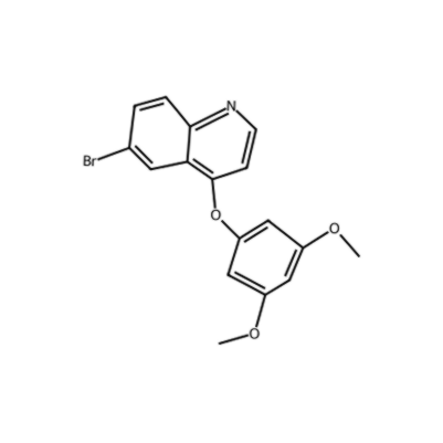 COc1cc(OC)cc(Oc2ccnc3ccc(Br)cc23)c1